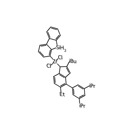 CCc1ccc2c(c1-c1cc(C(C)C)cc(C(C)C)c1)C=C(C(C)CC)[CH]2[Zr]([Cl])([Cl])[c]1cccc2c1[SiH2]c1ccccc1-2